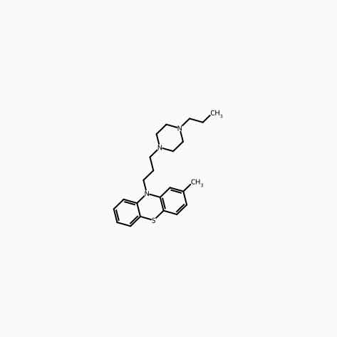 CCCN1CCN(CCCN2c3ccccc3Sc3ccc(C)cc32)CC1